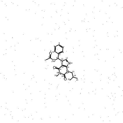 CC(=O)OC(c1ccccc1)n1cnc2c1c(=O)n(C)c(=O)n2CC(C)C